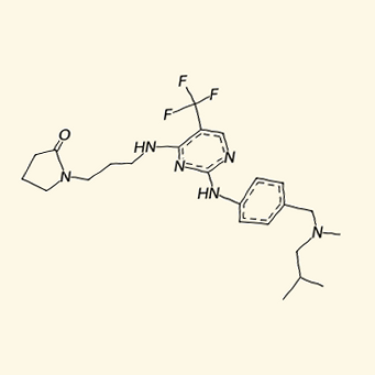 CC(C)CN(C)Cc1ccc(Nc2ncc(C(F)(F)F)c(NCCCN3CCCC3=O)n2)cc1